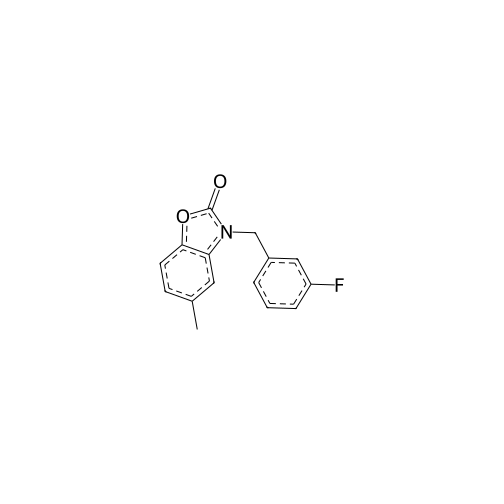 Cc1ccc2oc(=O)n(Cc3cccc(F)c3)c2c1